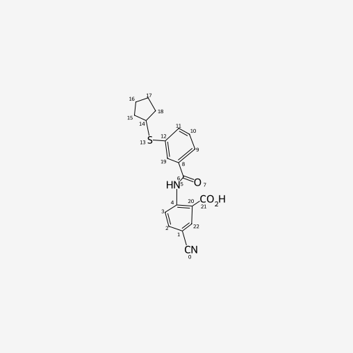 N#Cc1ccc(NC(=O)c2cccc(SC3CCCC3)c2)c(C(=O)O)c1